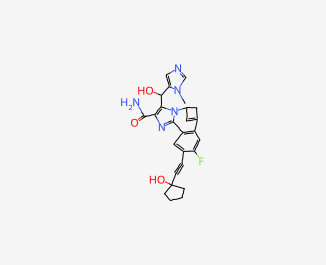 Cn1cncc1C(O)c1c(C(N)=O)nc2n1C1C=C(C1)c1cc(F)c(C#CC3(O)CCCC3)cc1-2